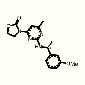 COc1cccc([C@H](C)Nc2nc(C)cc(N3CCOC3=O)n2)c1